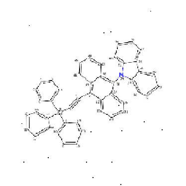 C(#C[Si](c1ccccc1)(c1ccccc1)c1ccccc1)c1c2ccccc2c(-n2c3ccccc3c3ccccc32)c2ccccc12